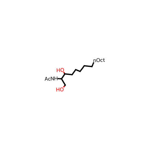 CCCCCCCCCCCCCC(O)C(CO)NC(C)=O